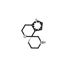 c1cc2c(s1)CCO[C@@]21CCCNC1